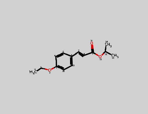 CCOc1ccc(C=CC(=O)OC(C)C)cc1